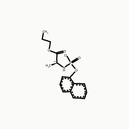 CCCOC(=O)[C@H](C)NP(=O)(Cl)Oc1cccc2ccccc12